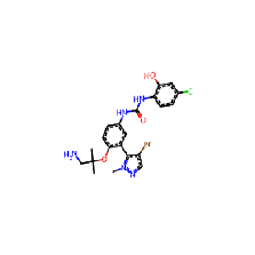 Cn1ncc(Br)c1-c1cc(NC(=O)Nc2ccc(Cl)cc2O)ccc1OC(C)(C)CN